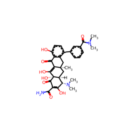 CN(C)C(=O)c1cccc(-c2ccc(O)c3c2C[C@@]2(C)C[C@H]4[C@H](N(C)C)C(O)=C(C(N)=O)C(=O)[C@@]4(O)C(O)=C2C3=O)c1